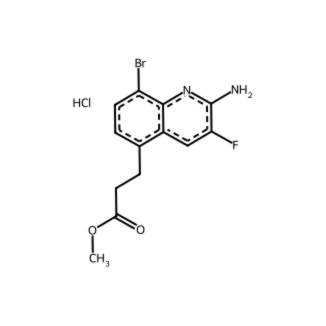 COC(=O)CCc1ccc(Br)c2nc(N)c(F)cc12.Cl